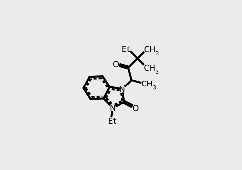 CCn1c(=O)n(C(C)C(=O)C(C)(C)CC)c2ccccc21